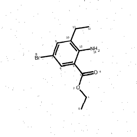 CCOC(=O)c1cc(Br)cc(CC)c1N